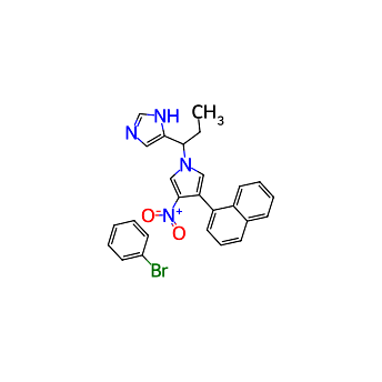 Brc1ccccc1.CCC(c1cnc[nH]1)n1cc(-c2cccc3ccccc23)c([N+](=O)[O-])c1